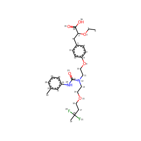 CCOC(Cc1ccc(OCCN(CCOCCC(C)(F)F)C(=O)Nc2cccc(C)c2)cc1)C(=O)O